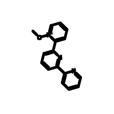 CO[n+]1ccccc1-c1cccc(-c2ccccn2)n1